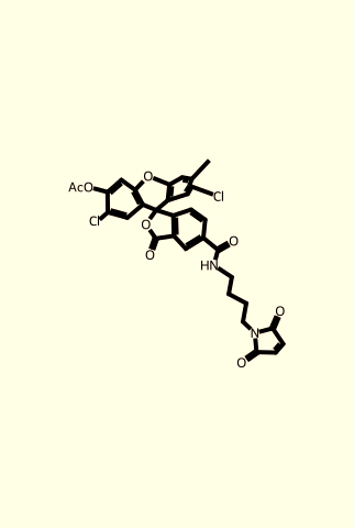 CC(=O)Oc1cc2c(cc1Cl)C1(OC(=O)c3cc(C(=O)NCCCCN4C(=O)C=CC4=O)ccc31)c1cc(Cl)c(C)cc1O2